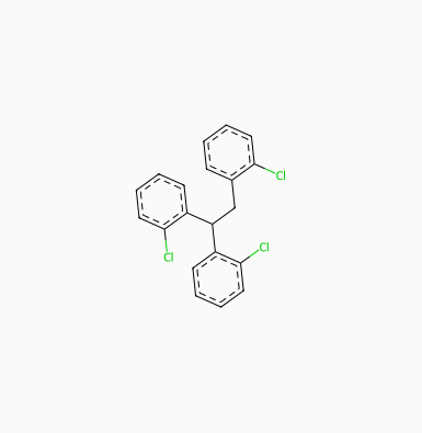 Clc1ccccc1CC(c1ccccc1Cl)c1ccccc1Cl